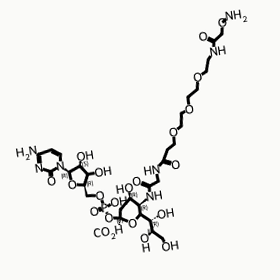 NOCC(=O)NCCOCCOCCOCCC(=O)NCC(=O)N[C@H]1C([C@H](O)[C@H](O)CO)O[C@](OP(=O)(O)OC[C@H]2O[C@@H](n3ccc(N)nc3=O)[C@@H](O)C2O)(C(=O)O)C[C@H]1O